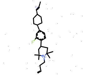 C=CCCN1C(C)(C)CC(c2ccc(C3CCC(/C=C/C)CC3)cc2F)CC1(C)C